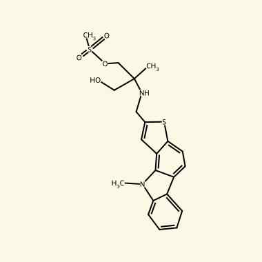 Cn1c2ccccc2c2ccc3sc(CNC(C)(CO)COS(C)(=O)=O)cc3c21